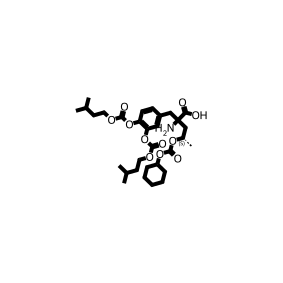 CC(C)CCOC(=O)Oc1ccc(CC(N)(C[C@H](C)OC(=O)OC2CCCCC2)C(=O)O)cc1OC(=O)OCCC(C)C